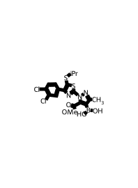 COC(=O)c1c(B(O)O)c(C)nn1-c1nc(-c2ccc(Cl)c(Cl)c2)c(SC(C)C)s1